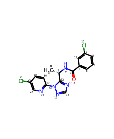 C[C@H](NC(=O)c1cccc(Cl)c1)c1ncnn1-c1ccc(Cl)cn1